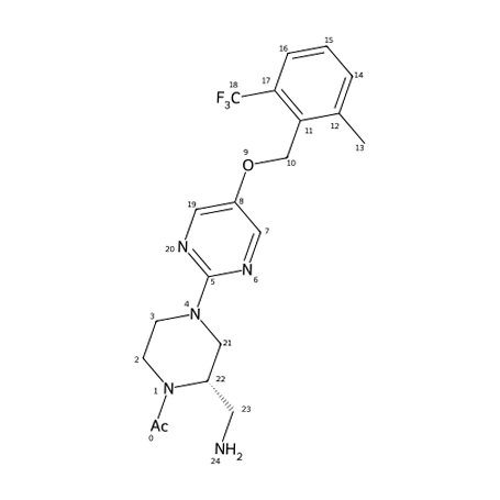 CC(=O)N1CCN(c2ncc(OCc3c(C)cccc3C(F)(F)F)cn2)C[C@@H]1CN